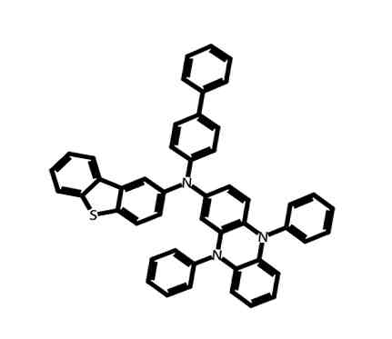 c1ccc(-c2ccc(N(c3ccc4c(c3)N(c3ccccc3)c3ccccc3N4c3ccccc3)c3ccc4sc5ccccc5c4c3)cc2)cc1